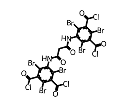 O=C(CC(=O)Nc1c(Br)c(C(=O)Cl)c(Br)c(C(=O)Cl)c1Br)Nc1c(Br)c(C(=O)Cl)c(Br)c(C(=O)Cl)c1Br